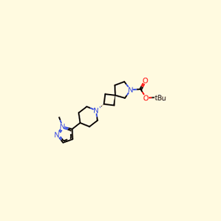 Cn1nccc1C1CCN([C@H]2C[C@]3(CCN(C(=O)OC(C)(C)C)C3)C2)CC1